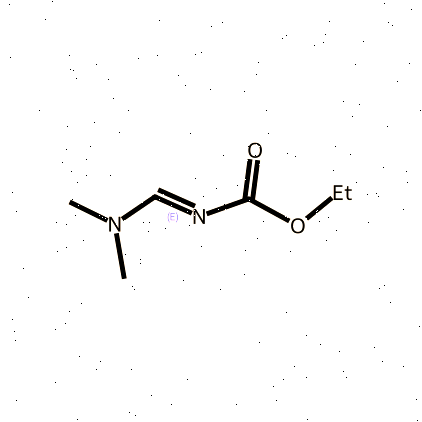 CCOC(=O)/N=C/N(C)C